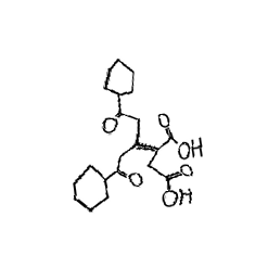 O=C(O)CC(C(=O)O)=C(CC(=O)C1CCCCC1)CC(=O)C1CCCCC1